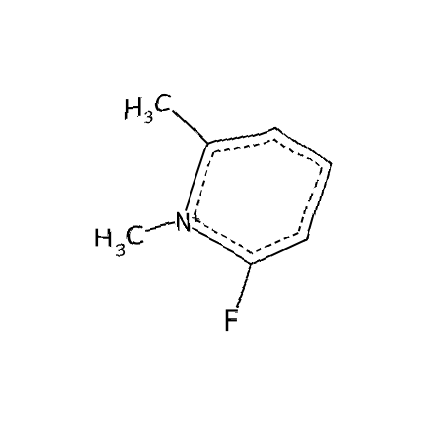 Cc1cccc(F)[n+]1C